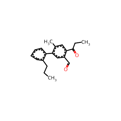 CCCc1ccccc1-c1cc(C=O)c(C(=O)CC)cc1C